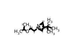 CC(C)OCCn1cc(C(C)(C)C)cn1